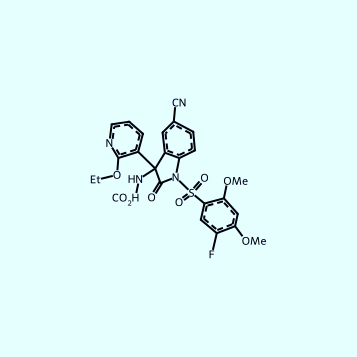 CCOc1ncccc1C1(NC(=O)O)C(=O)N(S(=O)(=O)c2cc(F)c(OC)cc2OC)c2ccc(C#N)cc21